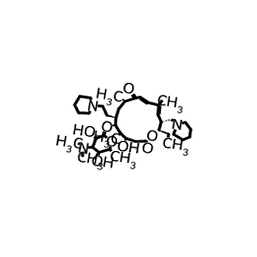 CC[C@H]1OC(=O)C[C@@H](O)[C@H](C)[C@@H](OC2OC(C)C(O)C(N(C)C)C2O)[C@@H](CCN2CCCCC2)C[C@@H](C)C(=O)/C=C/C(C)=C/[C@@H]1CN1CCCCC1